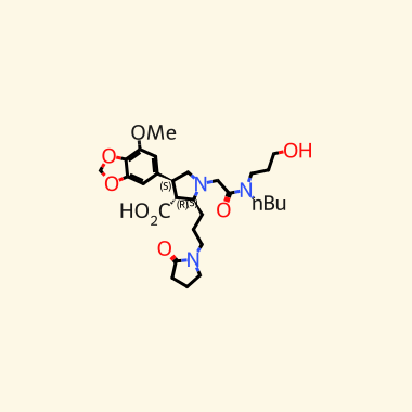 CCCCN(CCCO)C(=O)CN1C[C@H](c2cc(OC)c3c(c2)OCO3)[C@@H](C(=O)O)[C@@H]1CCCN1CCCC1=O